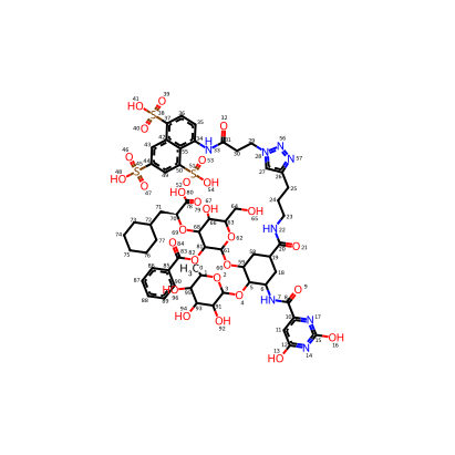 CC1OC(OC2C(NC(=O)c3cc(O)nc(O)n3)CC(C(=O)NCCCc3cn(CCC(=O)Nc4ccc(S(=O)(=O)O)c5cc(S(=O)(=O)O)cc(S(=O)(=O)O)c45)nn3)CC2OC2OC(CO)C(O)C(O[C@@H](CC3CCCCC3)C(=O)O)C2OC(=O)c2ccccc2)C(O)C(O)C1O